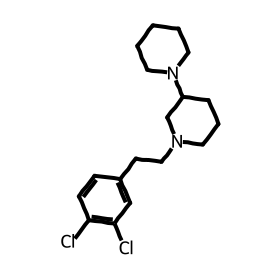 Clc1ccc(CCN2CCCC(N3CCCCC3)C2)cc1Cl